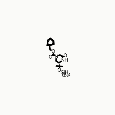 CC(C)(C)[SiH2]OC(C)(C)[C@H]1CN(C(=O)OCc2ccccc2)CC(=O)N1